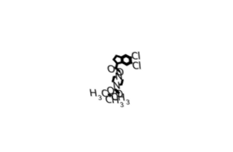 CC(C)(C)OC(=O)N1CCN(OC(=O)C2CCc3cc(Cl)c(Cl)cc32)CC1